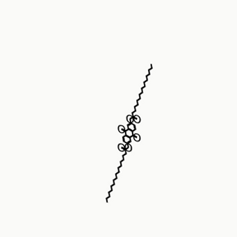 CCCCCCCCCCCCCCCCCC(=O)Oc1ccc2c(c1)C(=O)c1ccc(OC(=O)CCCCCCCCCCCCCCCCC)cc1C2=O